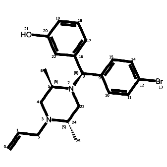 C=CCN1C[C@@H](C)N([C@H](c2ccc(Br)cc2)c2cccc(O)c2)C[C@@H]1C